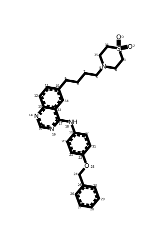 O=S1(=O)CCN(CCCCc2ccc3ncnc(Nc4ccc(OCc5ccccc5)cc4)c3c2)CC1